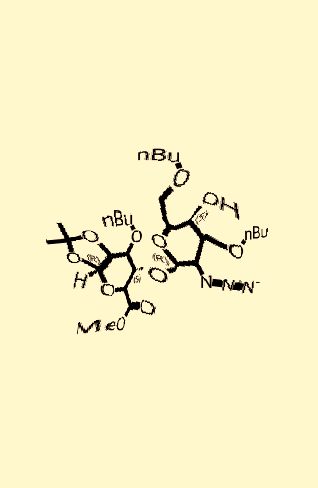 CCCCOCC1O[C@H](O[C@@H]2C(C(=O)OC)O[C@@H]3OC(C)(C)OC3C2OCCCC)C(N=[N+]=[N-])C(OCCCC)[C@@H]1O